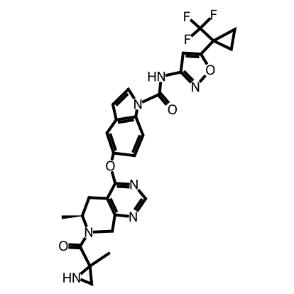 C[C@H]1Cc2c(ncnc2Oc2ccc3c(ccn3C(=O)Nc3cc(C4(C(F)(F)F)CC4)on3)c2)CN1C(=O)C1(C)CN1